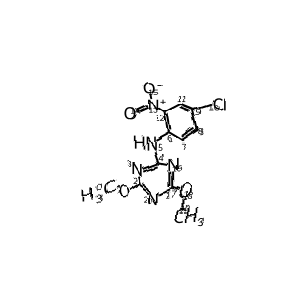 COc1nc(Nc2ccc(Cl)cc2[N+](=O)[O-])nc(OC)n1